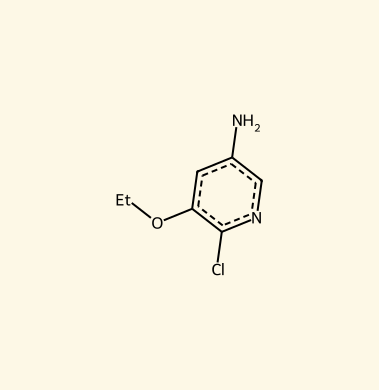 CCOc1cc(N)cnc1Cl